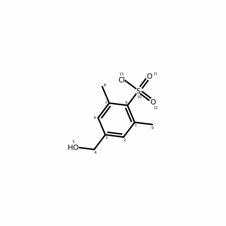 Cc1cc(CO)cc(C)c1S(=O)(=O)Cl